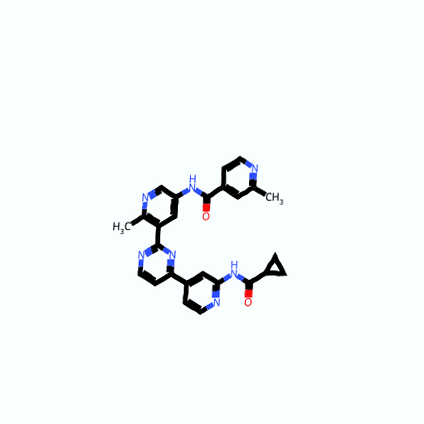 Cc1cc(C(=O)Nc2cnc(C)c(-c3nccc(-c4ccnc(NC(=O)C5CC5)c4)n3)c2)ccn1